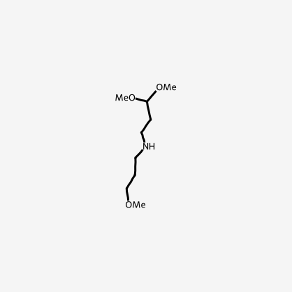 COCCCNCCC(OC)OC